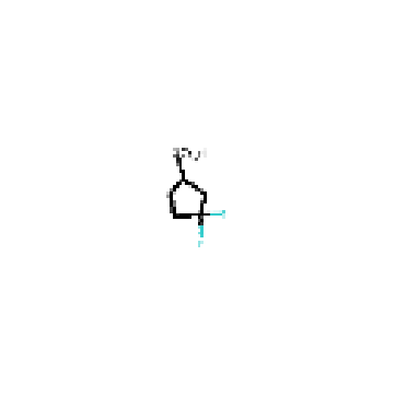 O=S(=O)(O)C1CCC(F)(F)C1